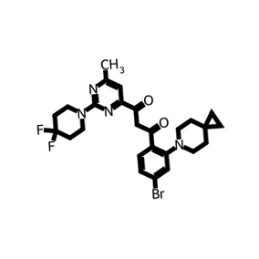 Cc1cc(C(=O)CC(=O)c2ccc(Br)cc2N2CCC3(CC2)CC3)nc(N2CCC(F)(F)CC2)n1